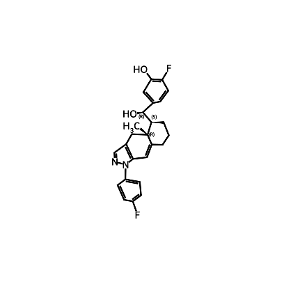 C[C@]12Cc3cnn(-c4ccc(F)cc4)c3C=C1CCC[C@@H]2[C@@H](O)c1ccc(F)c(O)c1